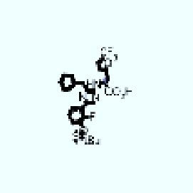 CC(C)(C)[Si](C)(C)Oc1cccc(-c2cnc(N/C(=C\c3ccc(C(F)(F)F)o3)C(=O)O)c(Cc3ccccc3)n2)c1F